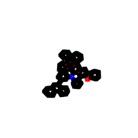 c1ccc(-c2ccc(-c3cc4ccccc4c4ccccc34)cc2N(c2ccccc2-c2cccc3c2oc2ccccc23)c2cccc3c2-c2ccccc2C3(c2ccccc2)c2ccccc2)cc1